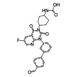 O=Cc1ccc(-c2cccc(-n3c(=O)n(C4CCC(NC(=O)O)CC4)c(=O)c4cc(F)cnc43)c2)cc1